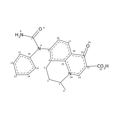 CC1CCc2c(N(C(N)=O)c3ccccc3)ccc3c(=O)c(C(=O)O)cn1c23